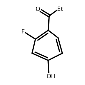 CCC(=O)c1ccc(O)cc1F